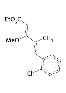 CCOC(=O)/C=C(OC)/C(C)=C/c1ccccc1Cl